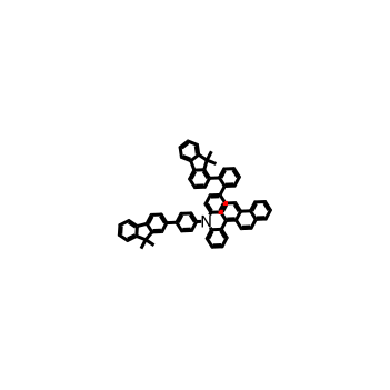 CC1(C)c2ccccc2-c2ccc(-c3ccc(N(c4ccc(-c5ccccc5-c5cccc6c5C(C)(C)c5ccccc5-6)cc4)c4ccccc4-c4cccc5c4ccc4ccccc45)cc3)cc21